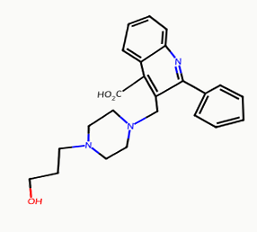 O=C(O)c1c(CN2CCN(CCCO)CC2)c(-c2ccccc2)nc2ccccc12